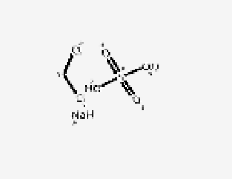 ClCCl.O=S(=O)(O)O.[NaH]